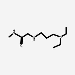 CCN(CC)CCCNCC(=O)NC